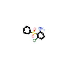 Nc1cccc(Cl)c1S(=O)(=O)c1ccccc1